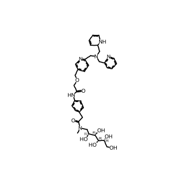 CN(C[C@H](O)[C@@H](O)[C@H](O)[C@H](O)CO)C(=O)Cc1ccc(NC(=O)COCc2ccc(CN(Cc3ccccn3)CC3C=CC=CN3)nc2)cc1